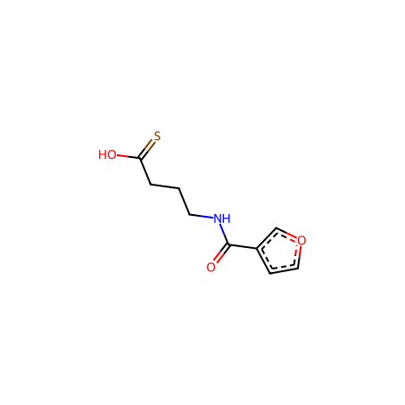 O=C(NCCCC(O)=S)c1ccoc1